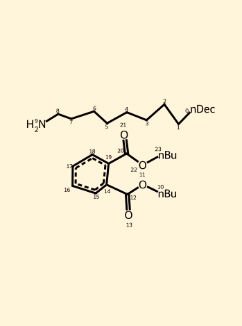 CCCCCCCCCCCCCCCCCCN.CCCCOC(=O)c1ccccc1C(=O)OCCCC